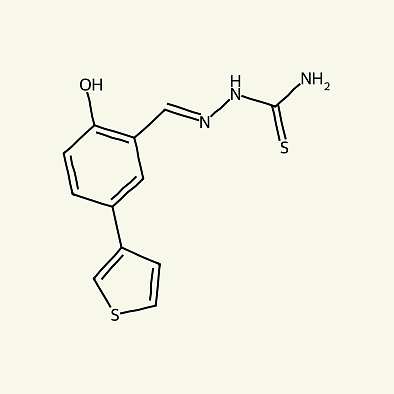 NC(=S)NN=Cc1cc(-c2ccsc2)ccc1O